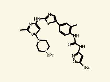 CCCN1CCN(c2cc(Nc3ncc(-c4ccc(NC(=O)Nc5cc(C(C)(C)C)on5)c(C)c4)s3)nc(C)n2)CC1